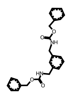 O=C(NCc1cccc(CNC(=O)OCc2ccccc2)c1)OCc1ccccc1